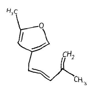 C=C(C)/C=C\c1coc(C)c1